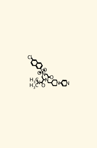 CN(C)C(=O)C1CN(S(=O)(=O)c2ccc3cc(Cl)ccc3c2)CC(=O)N1CC1CCN(c2ccncc2)CC1